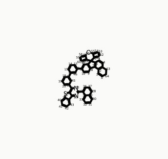 C1=Cc2c(ccc3c2-c2ccc(-c4cccc(-c5cccc(-c6nc(-c7cccc8ccccc78)nc7c6sc6ccccc67)c5)c4)cc2C32c3ccccc3Oc3ccccc32)CC1